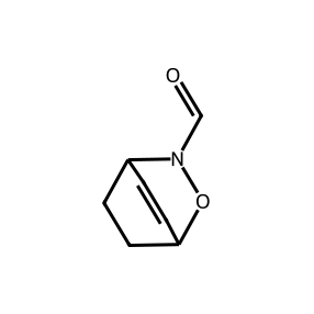 O=CN1OC2C=CC1CC2